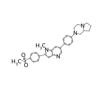 Cn1c(-c2ccc(S(C)(=O)=O)cc2)cc2ncc(-c3ccc(N4CCN5CCCC5C4)cc3)cc21